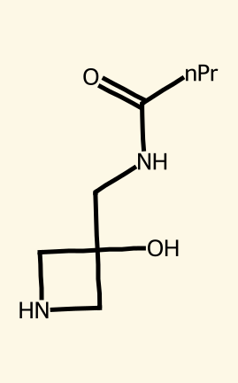 CCCC(=O)NCC1(O)CNC1